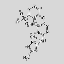 Cc1cc(Nc2ncc(Cl)c(Nc3ccccc3S(=O)(=O)C(C)C)n2)n(C)n1